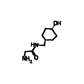 NCC(=O)NC[C@H]1CC[C@H](O)CC1